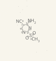 CS(=O)(=O)c1ncc(C#N)c(N)n1